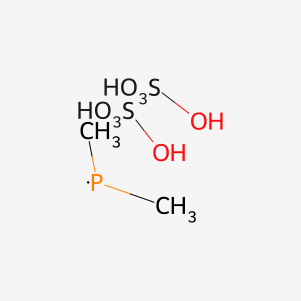 C[P]C.O=S(=O)(O)O.O=S(=O)(O)O